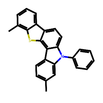 Cc1ccc2c3c4sc5c(C)cccc5c4ccc3n(-c3ccccc3)c2c1